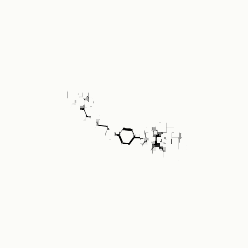 CC(C)(C)OC(=O)COCCOc1ccc(B2OC(C)(C)C(C)(C)O2)cc1